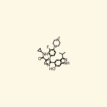 CC(C)c1n[nH]c2cc(O)c(-c3nnc(C(=O)NC4CC4)n3-c3ccc(N4CCN(C)CC4)c(F)c3)cc12